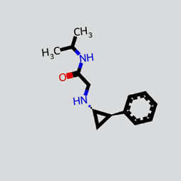 CC(C)NC(=O)CN[C@H]1C[C@@H]1c1ccccc1